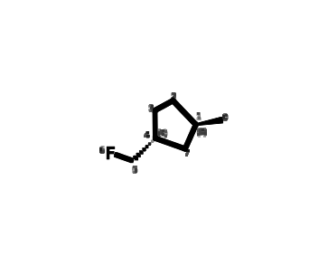 C[C@@H]1CC[C@@H](CF)C1